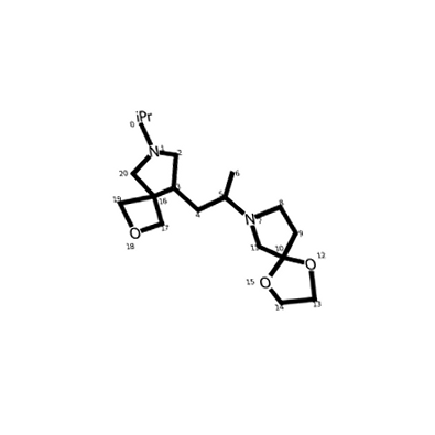 CC(C)N1CC(CC(C)N2CCC3(C2)OCCO3)C2(COC2)C1